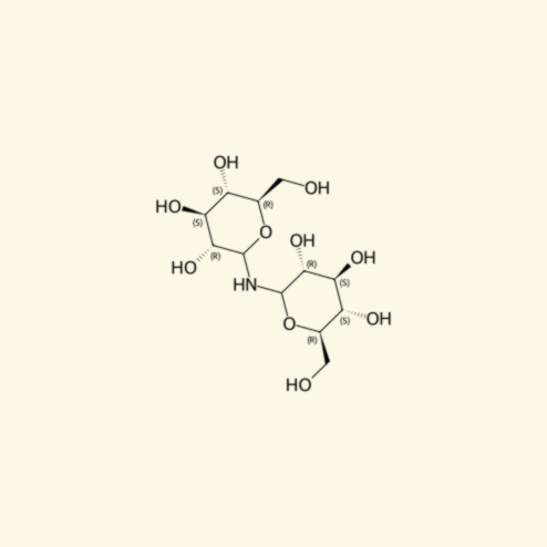 OC[C@H]1OC(NC2O[C@H](CO)[C@@H](O)[C@H](O)[C@H]2O)[C@H](O)[C@@H](O)[C@@H]1O